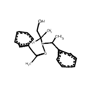 CC(ON(C(C)c1ccccc1)C(C)(C)CO)c1ccccc1